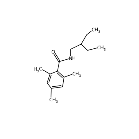 CCC(CC)CNC(=O)c1c(C)cc(C)cc1C